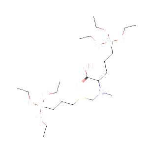 CCO[Si](CCCSCN(C)C(CCC[Si](OCC)(OCC)OCC)C(=O)O)(OCC)OCC